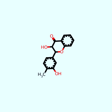 Cc1ccc(C2Oc3ccccc3C(=O)C2O)cc1O